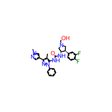 Cc1c(-c2cnn(C)c2)nn(-c2ccccc2)c1NC(=O)N[C@@H]1CN(CO)C[C@H]1c1ccc(F)c(F)c1